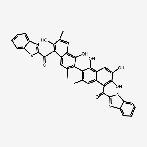 Cc1cc2c(O)c(-c3c(C)cc4c(C(=O)c5nc6ccccc6[nH]5)c(O)c(O)cc4c3O)c(C)cc2c(C(=O)c2nc3ccccc3s2)c1O